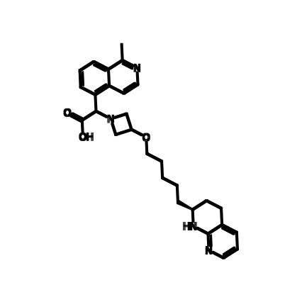 Cc1nccc2c(C(C(=O)O)N3CC(OCCCCC[C@H]4CCc5cccnc5N4)C3)cccc12